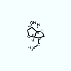 BO[C@@H]1CO[C@H]2[C@@H]1OC[C@@H]2O